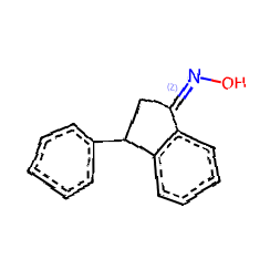 O/N=C1/CC(c2ccccc2)c2ccccc21